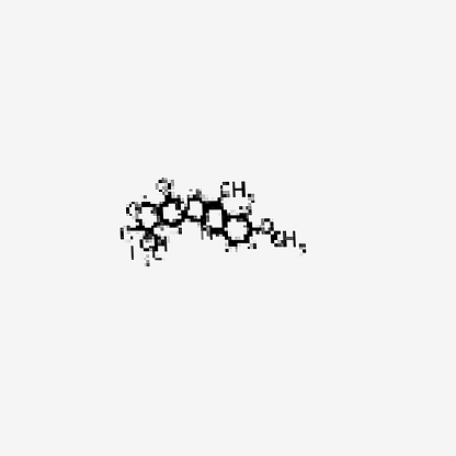 CC[C@@]1(O)C(=O)OCc2c1cc1n(c2=O)Cc2c-1nc1ccc(OC)cc1c2C